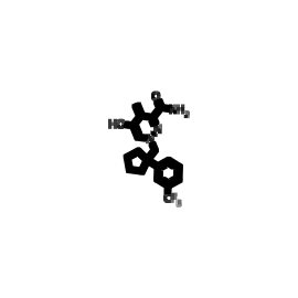 C=C1C(O)=CN(CC2(c3cccc(C(F)(F)F)c3)CCCC2)N=C1C(N)=O